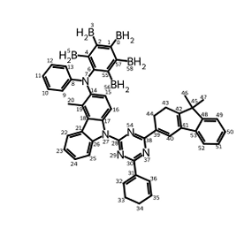 Bc1c(B)c(B)c(N(c2ccccc2)c2ccc3c(c2C)c2ccccc2n3-c2nc(C3=CCCC=C3)nc(C3=CC4=C(CC3)C(C)(C)c3ccccc34)n2)c(B)c1B